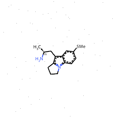 CSc1ccc2c(c1)c(C[C@H](C)N)c1n2CCC1